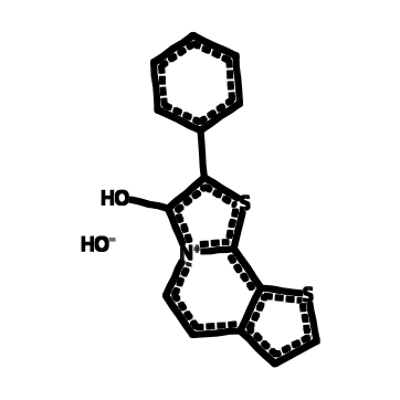 Oc1c(-c2ccccc2)sc2c3sccc3cc[n+]12.[OH-]